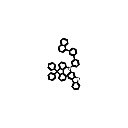 c1ccc(C2(c3ccccc3)c3ccccc3-c3c(N(c4cccc(-c5cccc(-c6cccc7ccccc67)c5)c4)c4ccc5c(c4)oc4ccccc45)cccc32)cc1